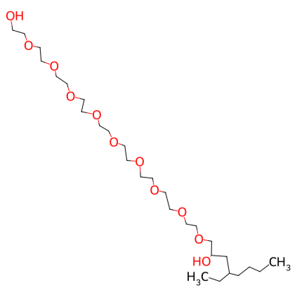 CCCCC(CC)CC(O)COCCOCCOCCOCCOCCOCCOCCOCCOCCO